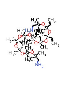 C=C[Si](C)(O[Si](C)(C)CN)O[Si](C)(C=C)O[Si](C)(C=C)O[Si](C)(C=C)O[Si](C)(C)O[Si](C)(C)O[Si](C)(C)O[Si](C)(C)O[Si](C)(C)CN